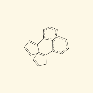 C1=CCC(c2cccc3cccc(C4=CC=CC4)c23)=C1